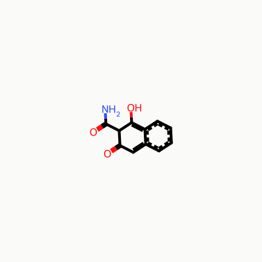 NC(=O)C1C(=O)C=c2ccccc2=C1O